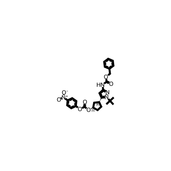 CC(C)(C)n1nc(NC(=O)OCc2ccccc2)cc1[C@@H]1CC[C@H](OC(=O)Oc2ccc([N+](=O)[O-])cc2)C1